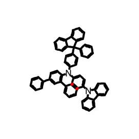 c1ccc(-c2ccc(N(c3ccc(-n4c5ccccc5c5ccccc54)cc3)c3ccc(C4(c5ccccc5)c5ccccc5-c5ccccc54)cc3)c(-c3ccccc3)c2)cc1